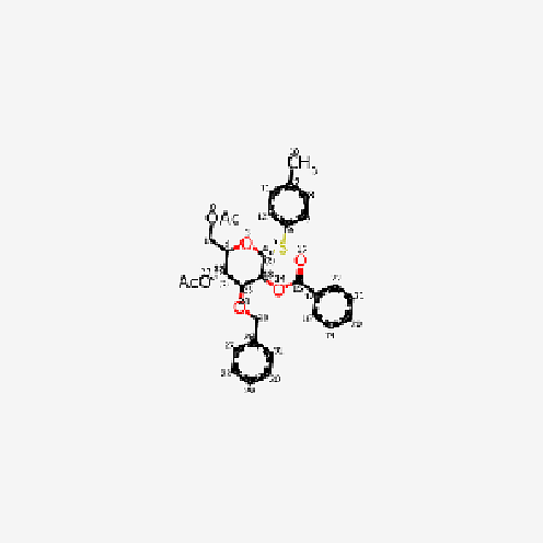 CC(=O)OCC1O[C@H](Sc2ccc(C)cc2)C(OC(=O)c2ccccc2)C(OCc2ccccc2)[C@@H]1OC(C)=O